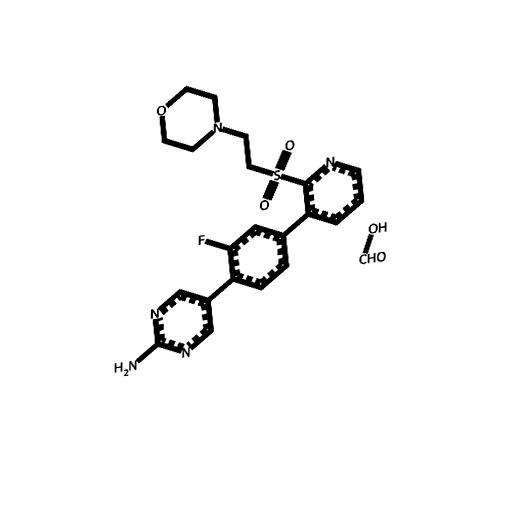 Nc1ncc(-c2ccc(-c3cccnc3S(=O)(=O)CCN3CCOCC3)cc2F)cn1.O=CO